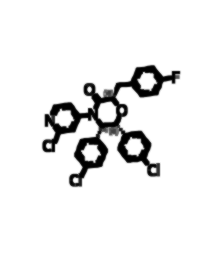 O=C1[C@@H](Cc2ccc(F)cc2)O[C@H](c2ccc(Cl)cc2)[C@H](c2ccc(Cl)cc2)N1c1ccnc(Cl)c1